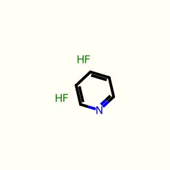 F.F.c1ccncc1